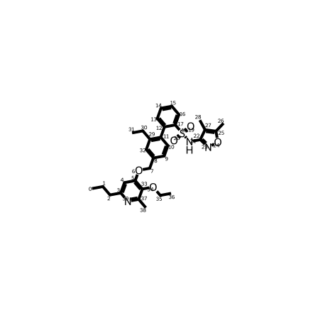 CCCc1cc(OCc2ccc(-c3ccccc3S(=O)(=O)Nc3noc(C)c3C)c(CC)c2)c(OCC)c(C)n1